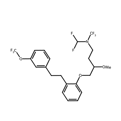 COC(CCN(C(F)F)C(F)(F)F)COc1ccccc1CCc1cccc(OC(F)(F)F)c1